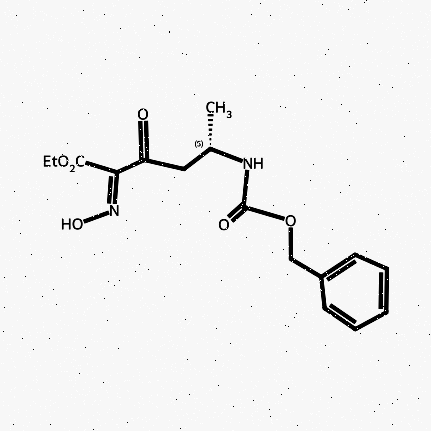 CCOC(=O)C(=NO)C(=O)C[C@H](C)NC(=O)OCc1ccccc1